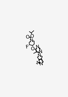 Cc1c(O[C@H]2CCN(C(=O)OC(C)C)C[C@H]2F)ncnc1N1Cc2cnn(C)c2C1